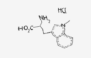 Cl.Cn1cc(CC(N)C(=O)O)c2ccccc21